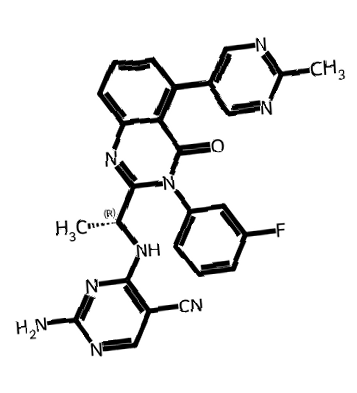 Cc1ncc(-c2cccc3nc([C@@H](C)Nc4nc(N)ncc4C#N)n(-c4cccc(F)c4)c(=O)c23)cn1